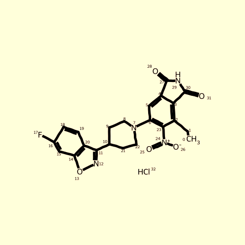 CCc1c2c(cc(N3CCC(c4noc5cc(F)ccc45)CC3)c1[N+](=O)[O-])C(=O)NC2=O.Cl